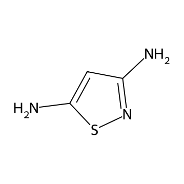 Nc1cc(N)sn1